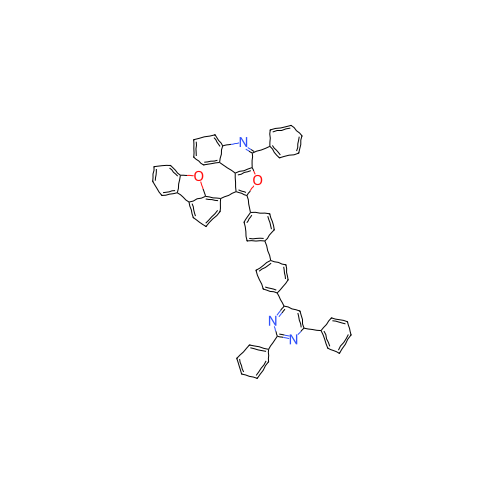 c1ccc(-c2cc(-c3ccc(-c4ccc(-c5oc6c(-c7ccccc7)nc7ccccc7c6c5-c5cccc6c5oc5ccccc56)cc4)cc3)nc(-c3ccccc3)n2)cc1